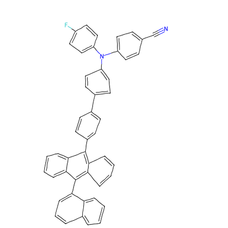 N#Cc1ccc(N(c2ccc(F)cc2)c2ccc(-c3ccc(-c4c5ccccc5c(-c5cccc6ccccc56)c5ccccc45)cc3)cc2)cc1